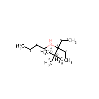 CCCCBC(CC)(CC)C(C)(C)C